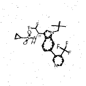 CC(C)(C)Cn1cc([C@H](NS(=O)(=O)C2CC2)C(F)F)c2ccc(-c3cnccc3C(F)(F)F)cc21